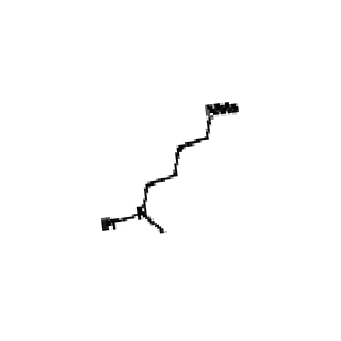 CNCCCCN(C)C(C)C